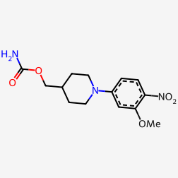 COc1cc(N2CCC(COC(N)=O)CC2)ccc1[N+](=O)[O-]